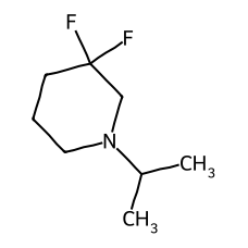 CC(C)N1CCCC(F)(F)C1